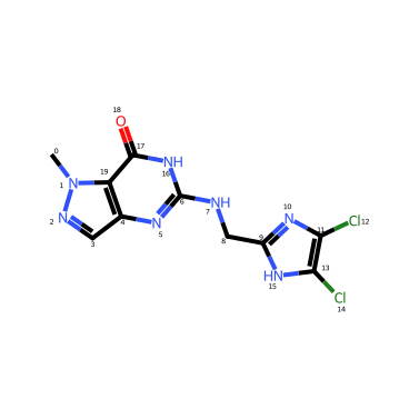 Cn1ncc2nc(NCc3nc(Cl)c(Cl)[nH]3)[nH]c(=O)c21